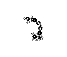 CCC1(CC)C(=O)N(c2cc(F)ccc2O)[C@H]1c1cc(F)c(N2CCC(CN3CCN(c4ccc5c(c4)CN([C@H]4CCC(=O)NC4=O)C5=O)CC3)CC2)cc1OC